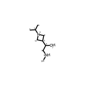 CC(C)N1CC(C(O)CNI)C1